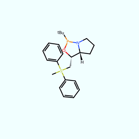 CC(C)(C)P1O[C@@H](CS(C)(c2ccccc2)c2ccccc2)[C@H]2CCCN21